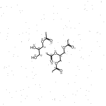 CC(=O)OCC(COC(C)=O)OC(C)=O.CC(=O)OCC(O)CO